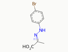 C/C(=N\Nc1ccc(Br)cc1)C(=O)O